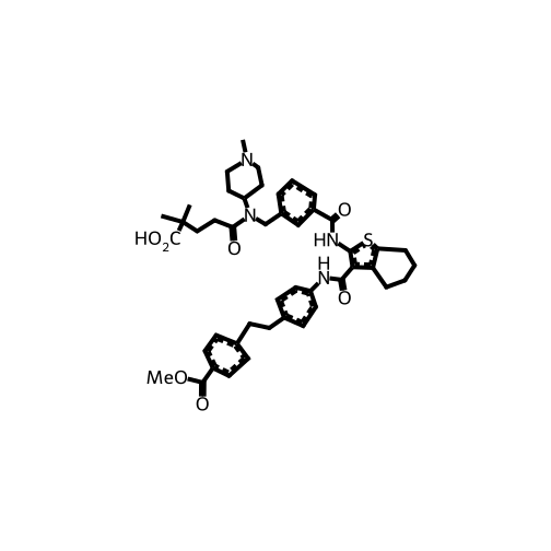 COC(=O)c1ccc(CCc2ccc(NC(=O)c3c(NC(=O)c4cccc(CN(C(=O)CCC(C)(C)C(=O)O)C5CCN(C)CC5)c4)sc4c3CCCC4)cc2)cc1